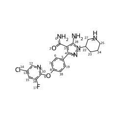 NC(=O)c1c(-c2ccc(Oc3ncc(Cl)cc3F)cc2)nn(C2CCCNC2)c1N